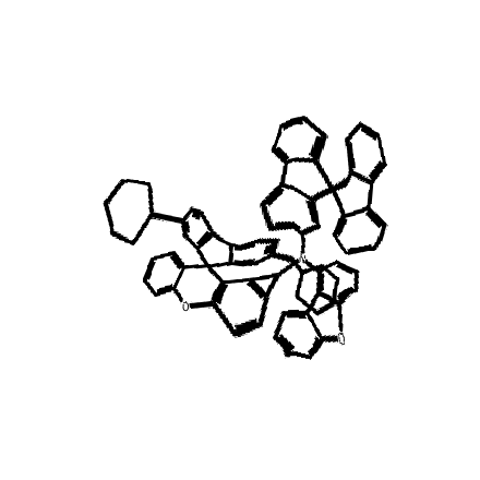 c1ccc2c(c1)Oc1ccc3c(c1C21c2cc(C4CCCCC4)ccc2-c2ccc(C4CCCCC4)cc21)C3N(c1ccc2c(c1)C1(c3ccccc3-c3ccccc31)c1ccccc1-2)c1cccc2oc3ccccc3c12